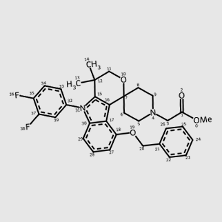 COC(=O)CN1CCC2(CC1)OCC(C)(C)c1c2c2c(OCc3ccccc3)cccc2n1-c1ccc(F)c(F)c1